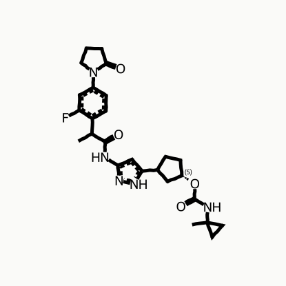 CC(C(=O)Nc1cc(C2CC[C@H](OC(=O)NC3(C)CC3)C2)[nH]n1)c1ccc(N2CCCC2=O)cc1F